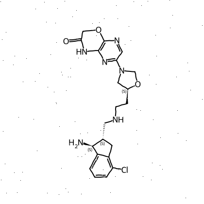 N[C@@H]1c2cccc(Cl)c2C[C@H]1CNCC[C@H]1CN(c2cnc3c(n2)NC(=O)CO3)CO1